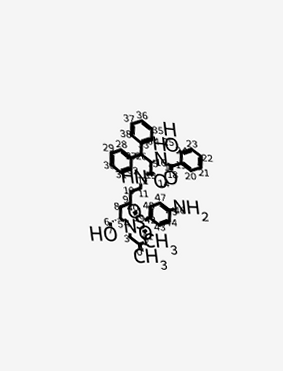 CC(C)CN([C@H](CO)CCCCNC(=O)[C@@H](NC(=O)c1ccccc1O)C(c1ccccc1)c1ccccc1)S(=O)(=O)c1ccc(N)cc1